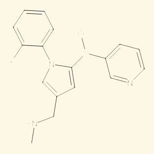 CNCc1cc([S+]([O-])c2cccnc2)n(-c2ccccc2F)c1